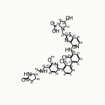 COc1nc(-c2cccc(-c3cccc(Nc4nccc5sc(CN6C[C@@H](O)C[C@H]6C(=O)O)nc45)c3Cl)c2Cl)ccc1CNC[C@@H]1CCC(=O)N1